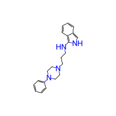 c1ccc(N2CCN(CCCNc3[nH]cc4ccccc34)CC2)cc1